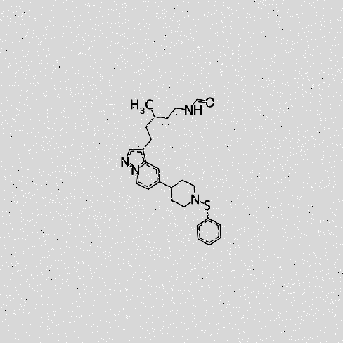 CC(CCNC=O)CCc1cnn2ccc(C3CCN(Sc4ccccc4)CC3)cc12